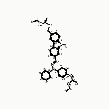 CCOC(C)OCc1ccc2c(c1)c1ccc(C=NN(c3ccccc3)c3ccc(OC(C)OCC)cc3)cc1n2C